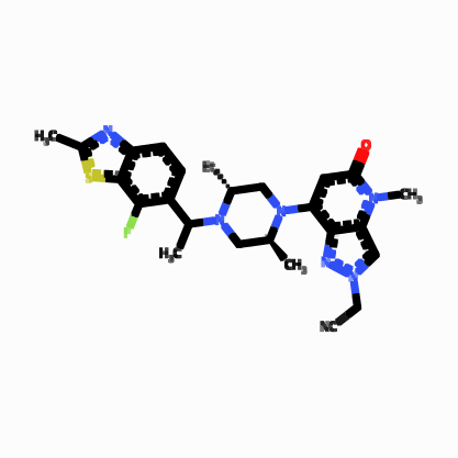 CC[C@@H]1CN(c2cc(=O)n(C)c3cn(CC#N)nc23)[C@@H](C)CN1C(C)c1ccc2nc(C)sc2c1F